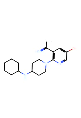 CC(=N)c1cc(Br)cnc1N1CCC(NC2CCCCC2)CC1